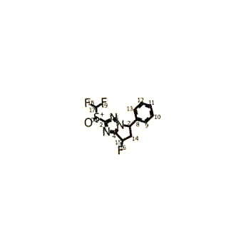 [O-][S+](c1nc2n(n1)C(c1ccccc1)CC2F)C(F)F